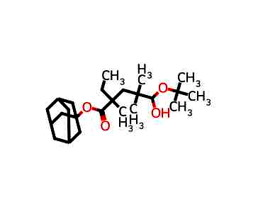 CCC(C)(CC(C)(C)C(O)OC(C)(C)C)C(=O)OC12CC3CC(CC(C3)C1)C2